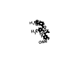 COc1cc(F)c([C@H](NC(=O)[C@H]2C[C@@H](C)CN2C(=O)c2cccc(S(C)(=O)=O)c2)C2=CC2)cc1F